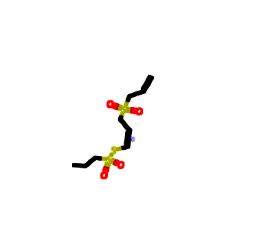 C=CCS(=O)(=O)C/C=C\SS(=O)(=O)CCC